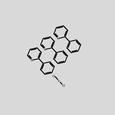 [Cl][Ir][Cl].c1ccc(-c2ccccn2)cc1.c1ccc(-c2ccccn2)cc1.c1ccc(-c2ccccn2)cc1